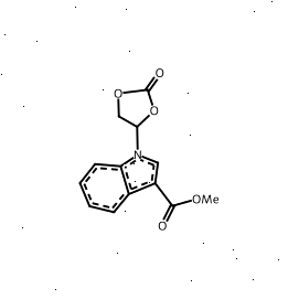 COC(=O)c1cn(C2COC(=O)O2)c2ccccc12